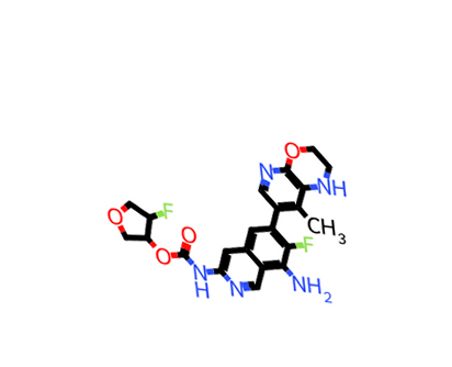 Cc1c(-c2cc3cc(NC(=O)OC4COCC4F)ncc3c(N)c2F)cnc2c1NCCO2